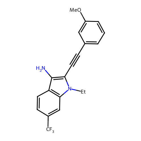 CCn1c(C#Cc2cccc(OC)c2)c(N)c2ccc(C(F)(F)F)cc21